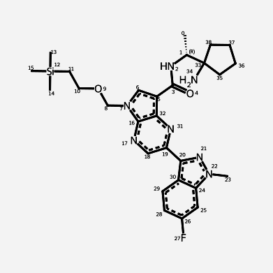 C[C@@H](NC(=O)c1cn(COCC[Si](C)(C)C)c2ncc(-c3nn(C)c4cc(F)ccc34)nc12)C1(N)CCCC1